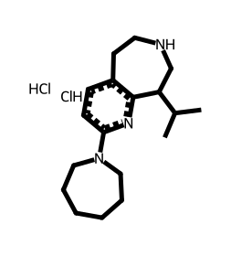 CC(C)C1CNCCc2ccc(N3CCCCCC3)nc21.Cl.Cl